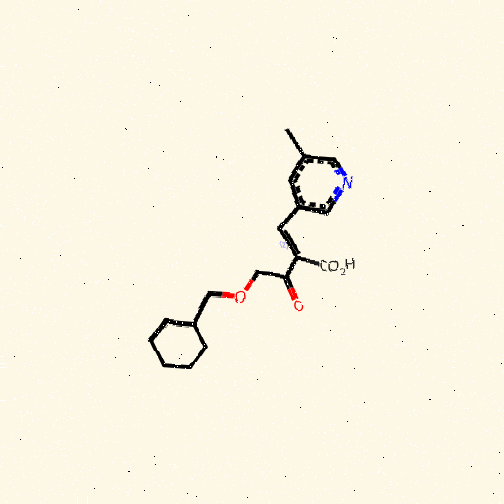 Cc1cncc(/C=C(\C(=O)O)C(=O)COCC2CCCCC2)c1